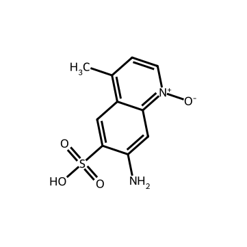 Cc1cc[n+]([O-])c2cc(N)c(S(=O)(=O)O)cc12